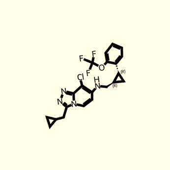 FC(F)(F)Oc1ccccc1[C@@H]1C[C@H]1CNc1ccn2c(CC3CC3)nnc2c1Cl